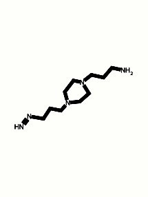 N=NCCCN1CCN(CCCN)CC1